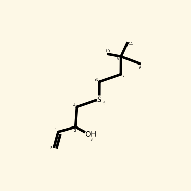 C=CC(O)CSCCC(C)(C)C